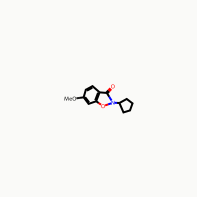 COc1ccc2c(=O)n(C3CCCC3)oc2c1